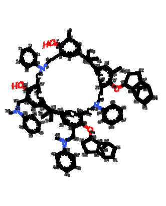 Cc1cc2cc(c1O)CN(c1ccccc1)Cc1cc(cc(CN(C)c3ccccc3)c1O)C(C)(C)c1cc(CN(C)c3ccccc3)c(OC3CCC4C5C=CC(C5)C34)c(c1)CN(c1ccccc1)Cc1cc(cc(C)c1OC1CCC3C4C=CC(C4)C13)C2(C)C